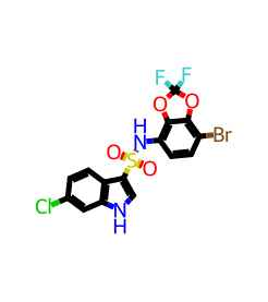 O=S(=O)(Nc1ccc(Br)c2c1OC(F)(F)O2)c1c[nH]c2cc(Cl)ccc12